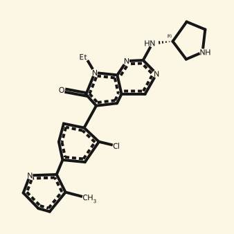 CCn1c(=O)c(-c2ccc(-c3ncccc3C)cc2Cl)cc2cnc(N[C@@H]3CCNC3)nc21